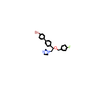 Fc1ccc(COC(Cn2ccnc2)c2ccc(-c3ccc(Br)cc3)cc2)cc1